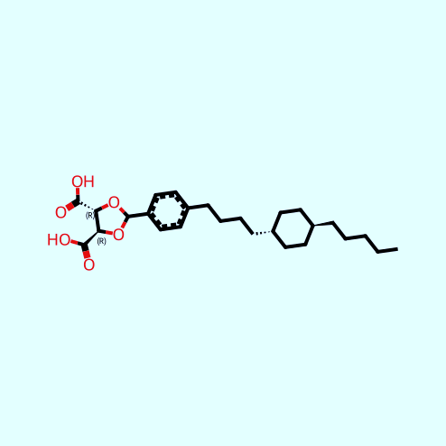 CCCCC[C@H]1CC[C@H](CCCCc2ccc(C3O[C@@H](C(=O)O)[C@H](C(=O)O)O3)cc2)CC1